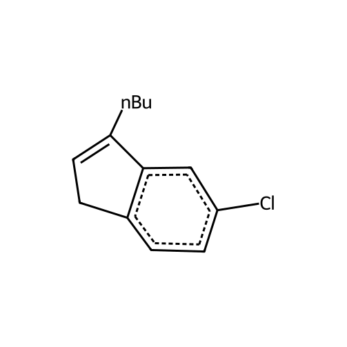 CCCCC1=CCc2ccc(Cl)cc21